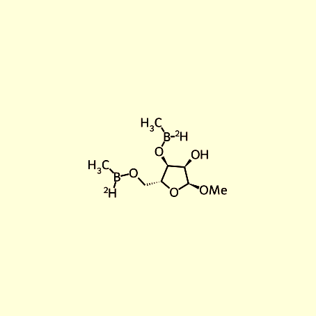 [2H]B(C)OC[C@H]1O[C@H](OC)[C@H](O)[C@@H]1OB([2H])C